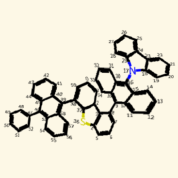 C1=CC2c3c(cccc3-c3c4ccccc4c(-n4c5ccccc5c5ccccc54)c4ccccc34)SC2C(c2c3ccccc3c(-c3ccccc3)c3ccccc23)=C1